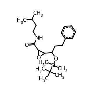 CC(C)CCNC(=O)C1OC1C(CCc1ccccc1)O[Si](C)(C)C(C)(C)C